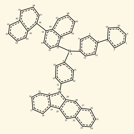 c1ccc(-c2ccc(N(c3ccc(-n4c5ccccc5c5cc6ccccc6cc54)cc3)c3ccc(-c4cccc5ccccc45)c4ccccc34)cc2)cc1